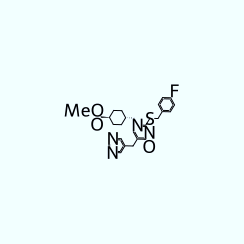 COC(=O)[C@H]1CC[C@H](Cn2cc(Cc3cncnc3)c(=O)nc2SCc2ccc(F)cc2)CC1